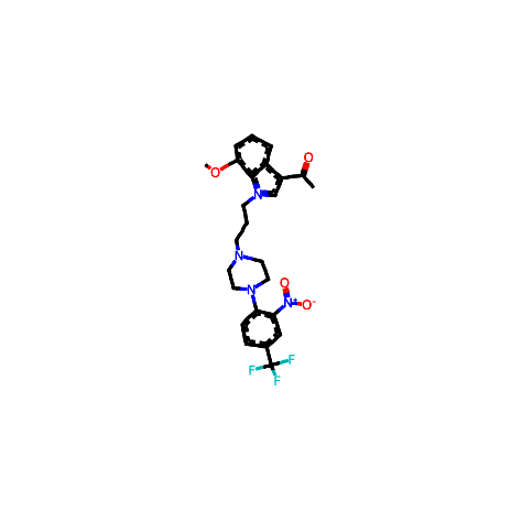 COc1cccc2c(C(C)=O)cn(CCCN3CCN(c4ccc(C(F)(F)F)cc4[N+](=O)[O-])CC3)c12